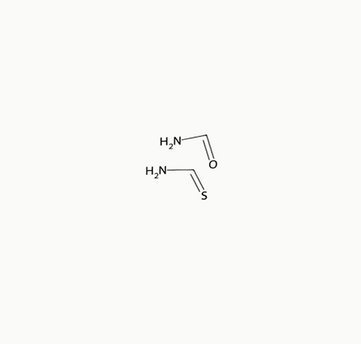 NC=O.NC=S